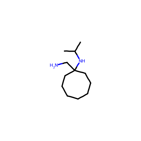 CC(C)NC1(CN)CCCCCCC1